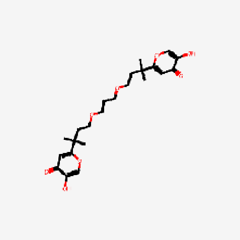 CC(C)(CCOCCCOCCC(C)(C)c1cc(=O)c(O)co1)c1cc(=O)c(O)co1